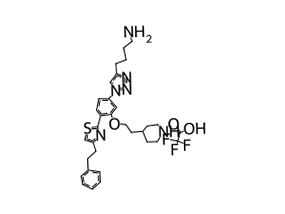 NCCCCc1cn(-c2ccc(-c3nc(CCc4ccccc4)cs3)c(OCCC3CCNCC3)c2)nn1.O=C(O)C(F)(F)F